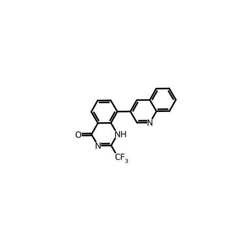 O=c1nc(C(F)(F)F)[nH]c2c(-c3cnc4ccccc4c3)cccc12